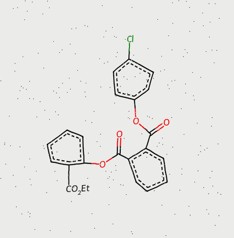 CCOC(=O)c1ccccc1OC(=O)c1ccccc1C(=O)Oc1ccc(Cl)cc1